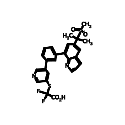 CC(C)(c1cc(-c2cccc(-c3cncc(SC(F)(F)C(=O)O)c3)c2)c2ncccc2c1)S(C)(=O)=O